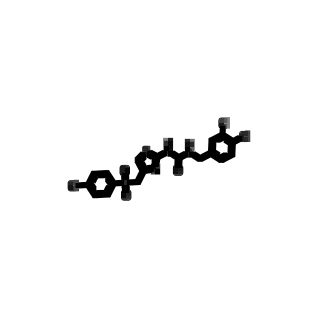 O=C(NCc1ccc(Cl)c(Cl)c1)Nc1nc(CS(=O)(=O)c2ccc(Cl)cc2)cs1